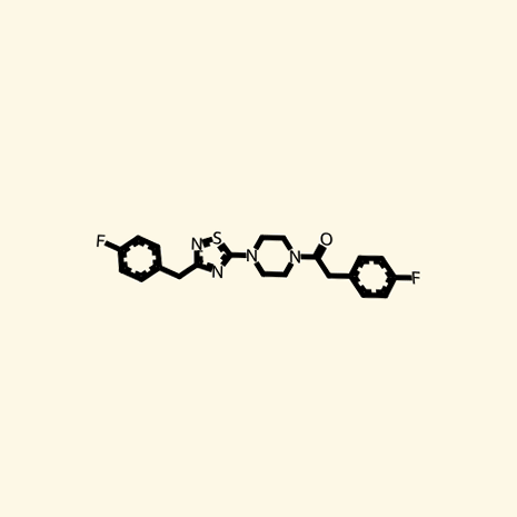 O=C(Cc1ccc(F)cc1)N1CCN(c2nc(Cc3ccc(F)cc3)ns2)CC1